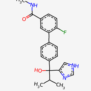 CNC(=O)c1ccc(F)c(-c2ccc(C(O)(c3c[nH]cn3)C(C)C)cc2)c1